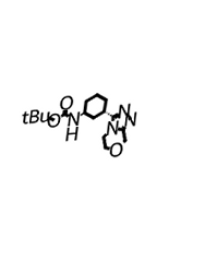 CC(C)(C)OC(=O)N[C@@H]1CCC[C@H](c2nnc3n2CCOC3)C1